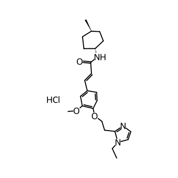 CCn1ccnc1CCOc1ccc(C=CC(=O)N[C@H]2CC[C@H](C)CC2)cc1OC.Cl